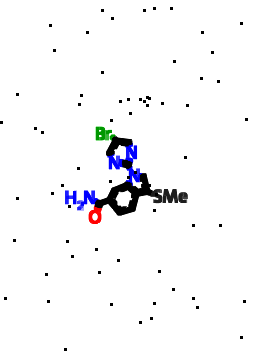 CSc1cn(-c2ncc(Br)cn2)c2cc(C(N)=O)ccc12